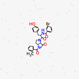 Cc1ccccc1C(=O)N1CC(=O)C2C1CCN2C(=O)C(Cc1ccc(O)cc1)NC(=O)c1cccc(Br)c1